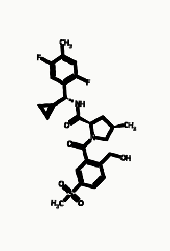 Cc1cc(F)c([C@H](NC(=O)[C@H]2C[C@@H](C)CN2C(=O)c2cc(S(C)(=O)=O)ccc2CO)C2=CC2)cc1F